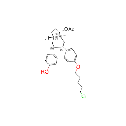 CC(=O)O[C@H]1CC[C@H]2C[C@@H](c3ccc(O)cc3)[C@@H](c3ccc(OCCCCCCl)cc3)C[C@@]21C